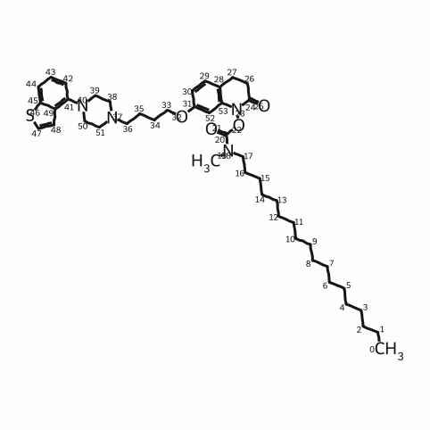 CCCCCCCCCCCCCCCCCCN(C)C(=O)ON1C(=O)CCc2ccc(OCCCCN3CCN(c4cccc5sccc45)CC3)cc21